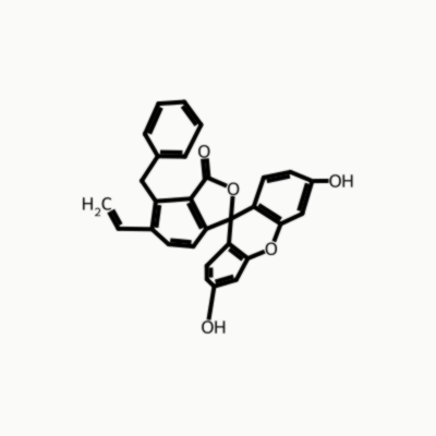 C=Cc1ccc2c(c1Cc1ccccc1)C(=O)OC21c2ccc(O)cc2Oc2cc(O)ccc21